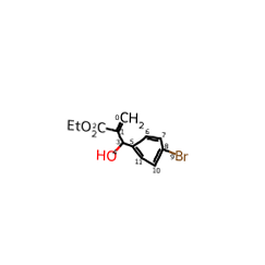 C=C(C(=O)OCC)C(O)c1ccc(Br)cc1